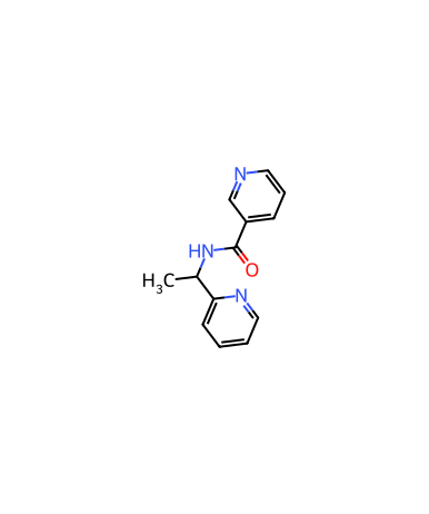 CC(NC(=O)c1cccnc1)c1ccccn1